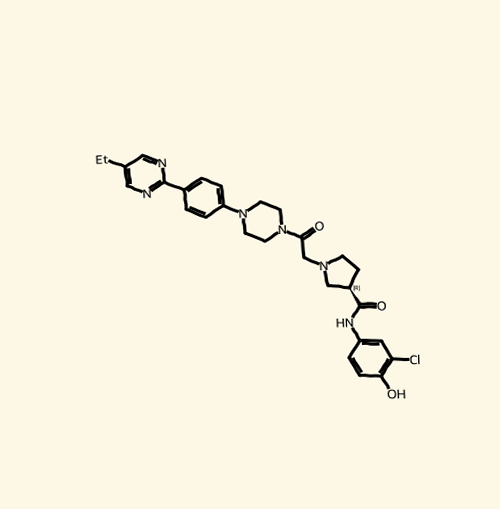 CCc1cnc(-c2ccc(N3CCN(C(=O)CN4CC[C@@H](C(=O)Nc5ccc(O)c(Cl)c5)C4)CC3)cc2)nc1